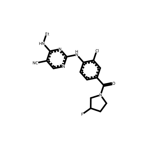 CCNc1nc(Nc2ccc(C(=O)N3CCC(F)C3)cc2Cl)ncc1C#N